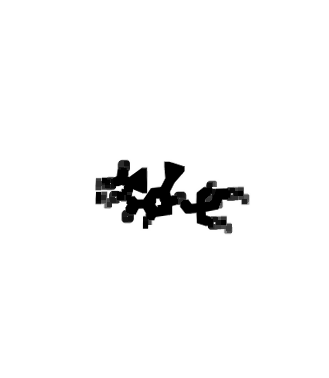 C=CCC(CC)(CC)COc1cc(F)c(C(=O)N(C)C2(C(=O)O)CC2)cc1C1CC1